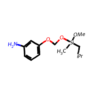 CO[Si](C)(CC(C)C)OCOc1cccc(N)c1